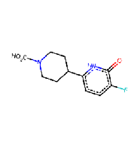 O=C(O)N1CCC(c2ccc(F)c(=O)[nH]2)CC1